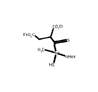 CCCCCC[N+](C)(S)C(=S)C(CC(=O)OCC)C(=O)OCC